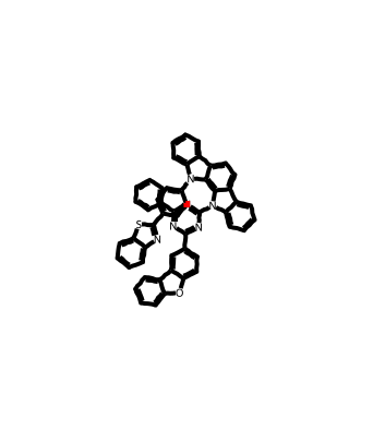 c1ccc(-c2nc(-c3ccc4oc5ccccc5c4c3)nc(-n3c4ccccc4c4ccc5c6ccccc6n(-c6ccc(-c7nc8ccccc8s7)cc6)c5c43)n2)cc1